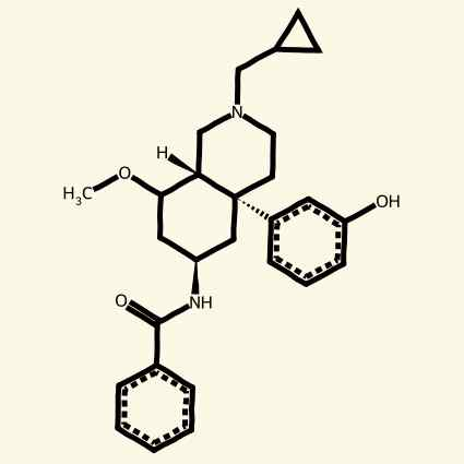 COC1C[C@H](NC(=O)c2ccccc2)C[C@]2(c3cccc(O)c3)CCN(CC3CC3)C[C@@H]12